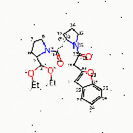 CCOC(OCC)C1CCCN1C(=O)[C@@H]1CCCN1C(=O)Cc1cc2ccccc2o1